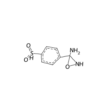 NC1(c2ccc([SH](=O)=O)cc2)NO1